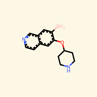 Bc1cc2cnccc2cc1OC1CCNCC1